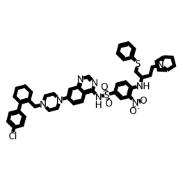 O=[N+]([O-])c1cc(S(=O)(=O)Nc2ncnc3cc(N4CCN(CC5=C(c6ccc(Cl)cc6)CCCC5)CC4)ccc23)ccc1NC(CCN1C2CCC1CC2)CSc1ccccc1